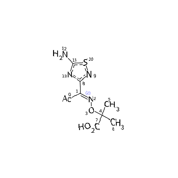 CC(=O)/C(=N\OC(C)(C)C(=O)O)c1nsc(N)n1